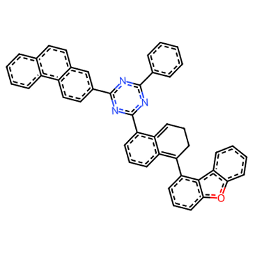 C1=c2c(-c3nc(-c4ccccc4)nc(-c4ccc5c(ccc6ccccc65)c4)n3)cccc2=C(c2cccc3oc4ccccc4c23)CC1